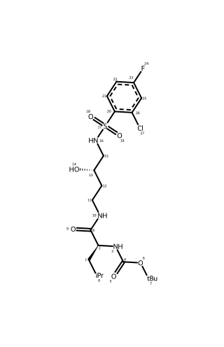 CC(C)C[C@H](NC(=O)OC(C)(C)C)C(=O)NCC[C@H](O)CNS(=O)(=O)c1ccc(F)cc1Cl